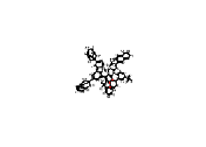 CC(C)(C)c1ccc(N2c3cc4c(cc3B3c5c2cc2c(c5-c5cc(C67CC8CC(CC(C8)C6)C7)cc6c7cc(C89CC%10CC(CC(C%10)C8)C9)ccc7n3c56)C(C)(C)c3ccccc3-2)oc2cc3ccccc3cc24)c(-c2ccccc2)c1